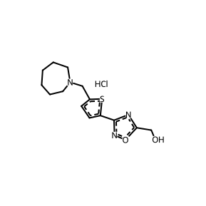 Cl.OCc1nc(-c2ccc(CN3CCCCCC3)s2)no1